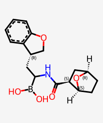 O=C(NC(C[C@H]1COc2ccccc21)B(O)O)[C@H]1C[C@H]2CC[C@@H]1O2